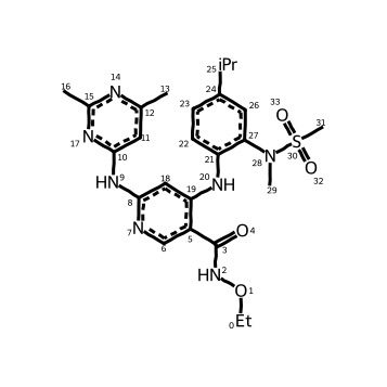 CCONC(=O)c1cnc(Nc2cc(C)nc(C)n2)cc1Nc1ccc(C(C)C)cc1N(C)S(C)(=O)=O